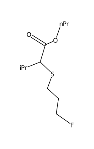 CCCOC(=O)C(SCCCF)C(C)C